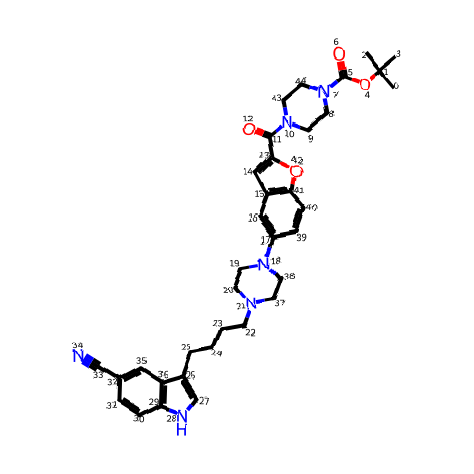 CC(C)(C)OC(=O)N1CCN(C(=O)c2cc3cc(N4CCN(CCCCc5c[nH]c6ccc(C#N)cc56)CC4)ccc3o2)CC1